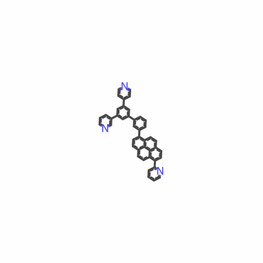 c1ccc(-c2ccc3ccc4c(-c5cccc(-c6cc(-c7ccncc7)cc(-c7cccnc7)c6)c5)ccc5ccc2c3c54)nc1